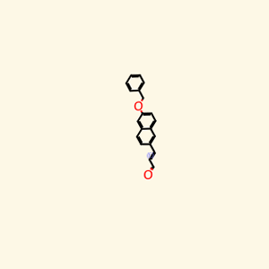 O=C/C=C/c1ccc2cc(OCc3ccccc3)ccc2c1